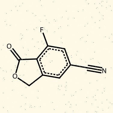 N#Cc1cc(F)c2c(c1)COC2=O